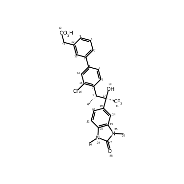 C[C@H](c1ccc(-c2cccc(CC(=O)O)c2)cc1Cl)[C@@](O)(c1ccc2c(c1)n(C)c(=O)n2C)C(F)(F)F